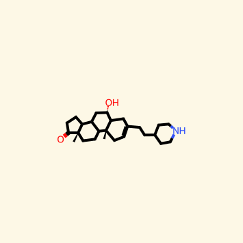 C[C@]12CC=C(CCC3CCNCC3)CC1[C@@H](O)CC1C2CC[C@]2(C)C(=O)CCC12